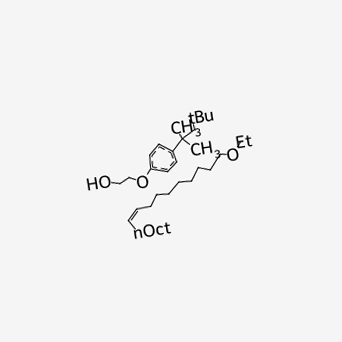 CC(C)(C)CC(C)(C)c1ccc(OCCO)cc1.CCCCCCCC/C=C\CCCCCCCCOCC